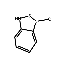 ON1SNc2ccccc21